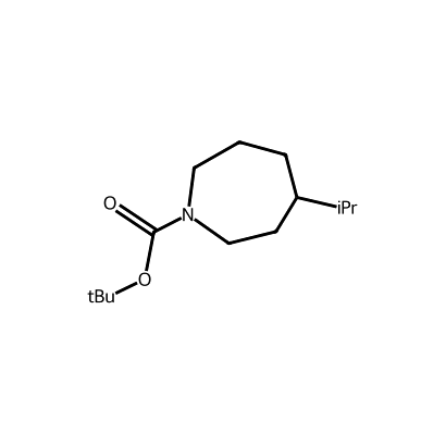 CC(C)C1CCCN(C(=O)OC(C)(C)C)CC1